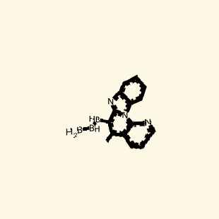 BBBc1c(C)c2cccnc2n2c1nc1ccccc12